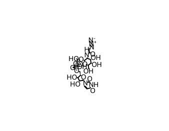 [N-]=[N+]=NCC(=O)NC1C(O)[C@@H](O)C(CO)O[C@H]1OP(=O)(O)OP(=O)(O)OC[C@H]1O[C@@H](n2ccc(=O)[nH]c2=O)C(O)C1O